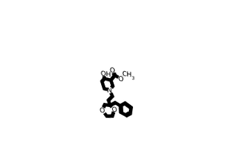 COC(=O)C1CN(CCC2(Cc3ccccc3)COCCO2)CCC1O